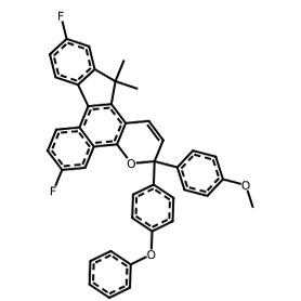 COc1ccc(C2(c3ccc(Oc4ccccc4)cc3)C=Cc3c4c(c5ccc(F)cc5c3O2)-c2ccc(F)cc2C4(C)C)cc1